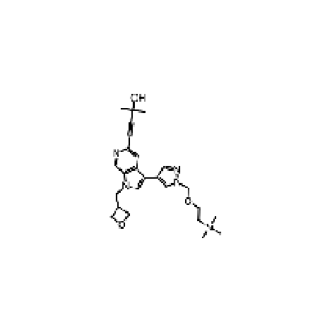 CC(C)(O)C#Cc1cc2c(-c3cnn(COCC[Si](C)(C)C)c3)cn(CC3COC3)c2cn1